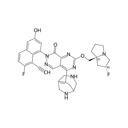 C#Cc1c(F)ccc2cc(O)cc(-n3ncc4c(C5=C6CNCC(C5)NC6)nc(OC[C@@]56CCCN5C[C@H](F)C6)nc4c3=O)c12